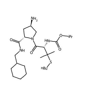 CCCCSC(C)(C)[C@@H](NC(=O)OC(C)C)C(=O)N1C[C@H](N)C[C@H]1C(=O)NCC1CCCCC1